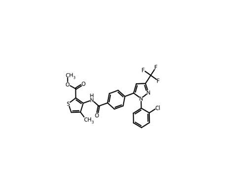 COC(=O)c1scc(C)c1NC(=O)c1ccc(-c2cc(C(F)(F)F)nn2-c2ccccc2Cl)cc1